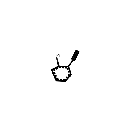 [C]#Cc1ccccc1C([CH2])C